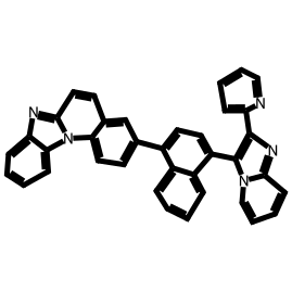 c1ccc(-c2nc3ccccn3c2-c2ccc(-c3ccc4c(ccc5nc6ccccc6n54)c3)c3ccccc23)nc1